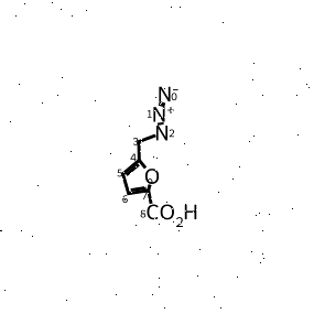 [N-]=[N+]=NCc1ccc(C(=O)O)o1